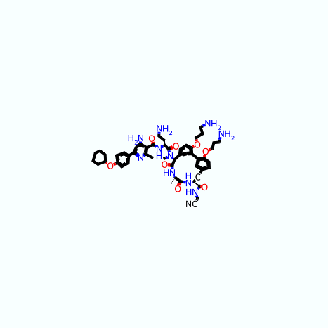 Cc1nc(-c2ccc(OC3CCCCC3)cc2)cc(N)c1C(=O)N[C@@H](CCN)C(=O)N(C)[C@@H]1C(=O)N[C@@H](C)C(=O)N[C@H](C(=O)NCC#N)Cc2ccc(OCCCN)c(c2)-c2cc1ccc2OCCCN